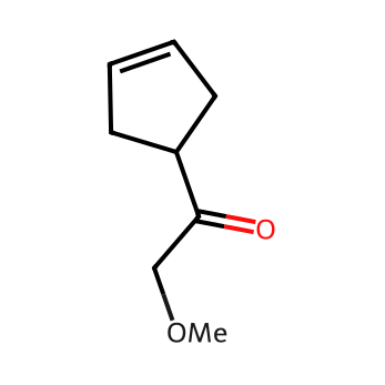 COCC(=O)C1CC=CC1